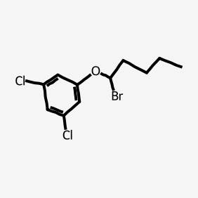 CCCCC(Br)Oc1cc(Cl)cc(Cl)c1